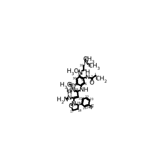 C=CC(=O)Nc1cc(NC(=N)/C=C(\NN)N2OCC[C@@H]2c2cccc(F)c2)c(OC)cc1N(C)CCN(C)C